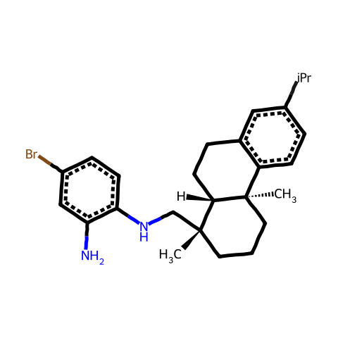 CC(C)c1ccc2c(c1)CC[C@H]1[C@@](C)(CNc3ccc(Br)cc3N)CCC[C@]21C